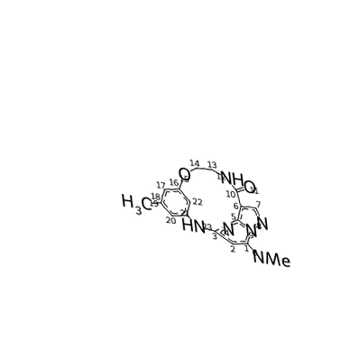 CNc1cc2nc3c(cnn13)C(=O)NCCOc1cc(C)cc(c1)N2